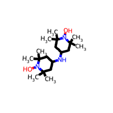 CC1(C)CC(NC2CC(C)(C)N(O)C(C)(C)C2)CC(C)(C)N1O